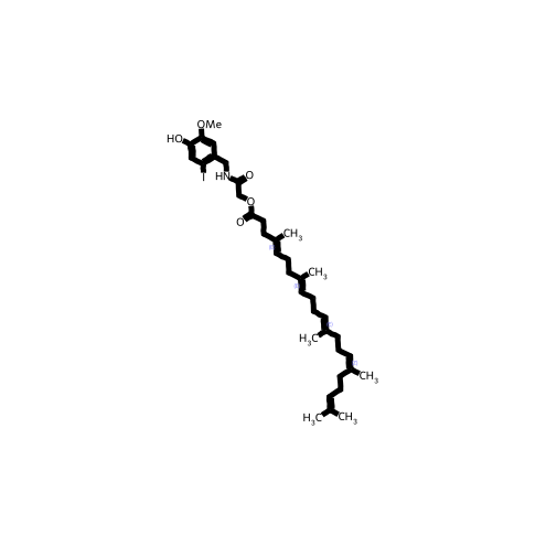 COc1cc(CNC(=O)COC(=O)CC/C(C)=C/CC/C(C)=C/CC/C=C(\C)CC/C=C(/C)CCC=C(C)C)c(I)cc1O